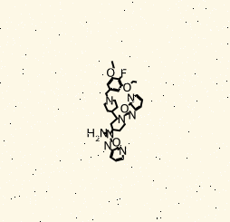 CCOc1cc(CN2CCC(C3CC(N(N)c4nc5cccnc5o4)CCN3c3nc4cccnc4o3)CC2)cc(OCC)c1F